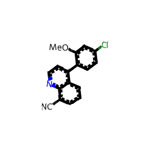 COc1cc(Cl)ccc1-c1ccnc2c(C#N)cccc12